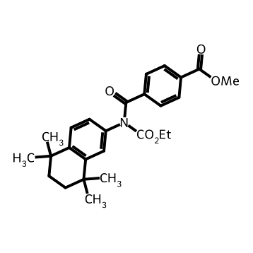 CCOC(=O)N(C(=O)c1ccc(C(=O)OC)cc1)c1ccc2c(c1)C(C)(C)CCC2(C)C